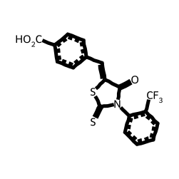 O=C(O)c1ccc(/C=C2\SC(=S)N(c3ccccc3C(F)(F)F)C2=O)cc1